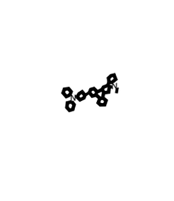 CCn1c2ccccc2c2cc3c4ccc(-c5ccc(N(c6ccccc6)c6ccccc6)cc5)cc4c4ccccc4c3cc21